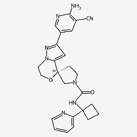 N#Cc1cc(-c2cc3n(n2)CCO[C@@]32CCN(C(=O)NC3(c4ccccn4)CCC3)C2)cnc1N